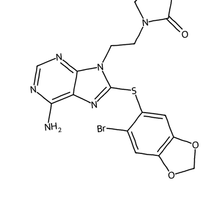 Nc1ncnc2c1nc(Sc1cc3c(cc1Br)OCO3)n2CCN1CCOC1=O